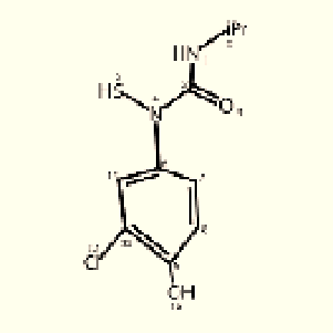 CC(C)NC(=O)N(S)c1ccc(O)c(Cl)c1